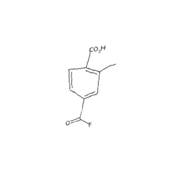 Cc1cc(C(=O)F)ccc1C(=O)O